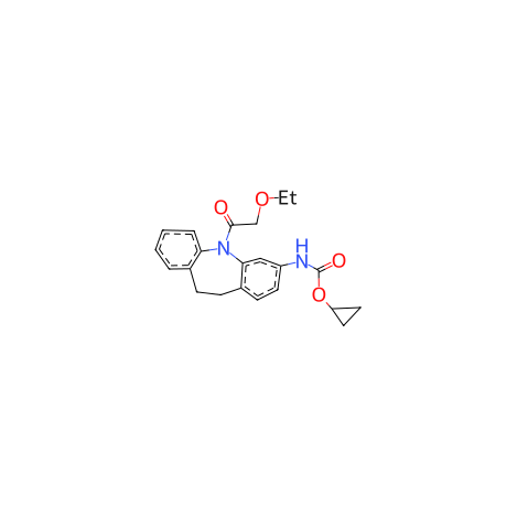 CCOCC(=O)N1c2ccccc2CCc2ccc(NC(=O)OC3CC3)cc21